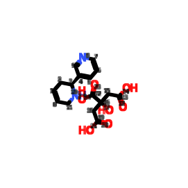 C1=CC[C@@H](c2cccnc2)NC1.O=C(O)CC(O)(CC(=O)O)C(=O)O